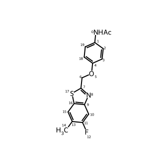 CC(=O)Nc1ccc(OCc2nc3cc(F)c(C)cc3s2)cc1